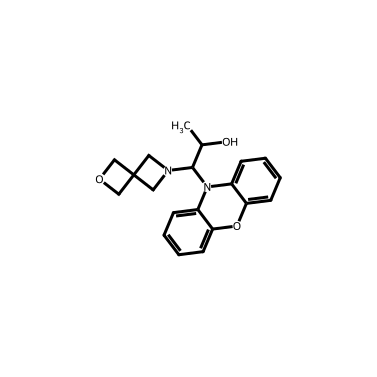 CC(O)C(N1CC2(COC2)C1)N1c2ccccc2Oc2ccccc21